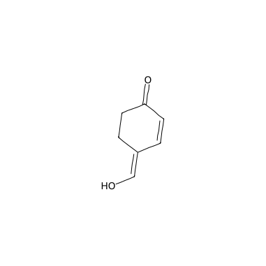 O=C1C=CC(=CO)CC1